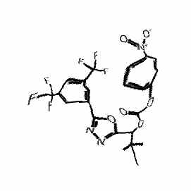 CC(C)(C)C(OC(=O)Oc1ccc([N+](=O)[O-])cc1)c1nnc(-c2cc(C(F)(F)F)cc(C(F)(F)F)c2)o1